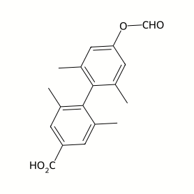 Cc1cc(OC=O)cc(C)c1-c1c(C)cc(C(=O)O)cc1C